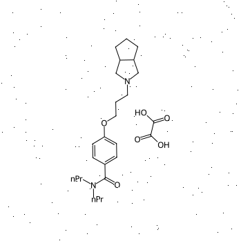 CCCN(CCC)C(=O)c1ccc(OCCCN2CC3CCCC3C2)cc1.O=C(O)C(=O)O